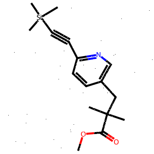 COC(=O)C(C)(C)Cc1ccc(C#C[Si](C)(C)C)nc1